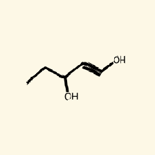 CCC(O)/C=C/O